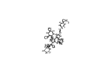 Cc1ccc(C#Cc2ccc(-c3c(Cn4cncn4)c(C(=O)NN4CCCCC4)nn3-c3ccc(Cl)cc3Cl)s2)cc1